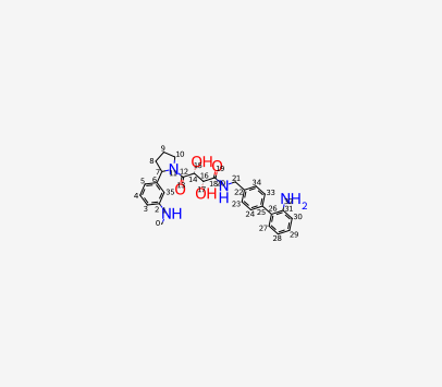 CNc1cccc(C2CCCN2C(=O)[C@H](O)[C@@H](O)C(=O)NCc2ccc(-c3ccccc3N)cc2)c1